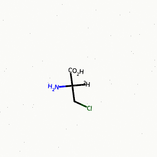 [2H]C(N)(CCl)C(=O)O